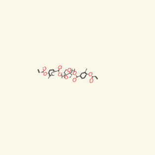 C=CC(=O)Oc1ccc(C(=O)O[C@@H]2CO[C@H]3[C@@H]2OC[C@H]3OC(=O)c2ccc(OC(=O)C=C)c(C)c2)cc1C